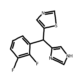 Fc1cccc(C(c2c[nH]cn2)c2cncs2)c1F